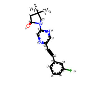 CC1(C)CC(=O)N(c2cnc(C#Cc3cccc(F)c3)cn2)C1